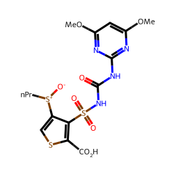 CCC[S+]([O-])c1csc(C(=O)O)c1S(=O)(=O)NC(=O)Nc1nc(OC)cc(OC)n1